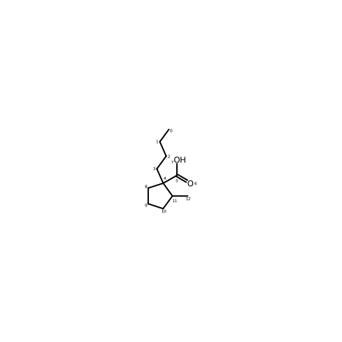 CCCCC1(C(=O)O)CCCC1C